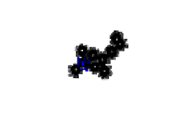 c1ccc(-c2nc(-c3ccccc3)nc(-c3cccc(-c4c(-c5ccccc5)cc(-c5ccc(-c6cccc7ccccc67)cc5)cc4-c4ccccc4)c3)n2)cc1